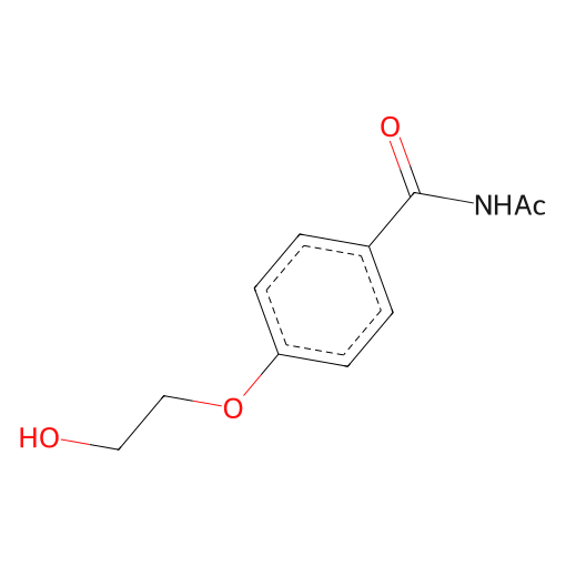 CC(=O)NC(=O)c1ccc(OCCO)cc1